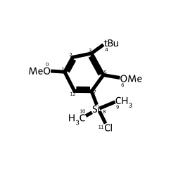 COc1cc(C(C)(C)C)c(OC)c([Si](C)(C)Cl)c1